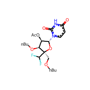 CCCCOC[C@@]1(C(F)F)O[C@@H](n2ccc(=O)[nH]c2=O)[C@H](OC(C)=O)[C@@H]1OCCCC